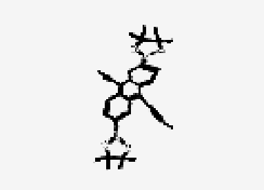 CC#Cc1c2ccc(B3OC(C)(C)C(C)(C)O3)cc2c(C#CC)c2ccc(B3OC(C)(C)C(C)(C)O3)cc12